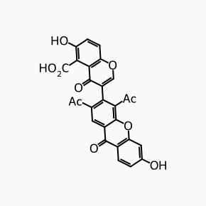 CC(=O)c1cc2c(=O)c3ccc(O)cc3oc2c(C(C)=O)c1-c1coc2ccc(O)c(C(=O)O)c2c1=O